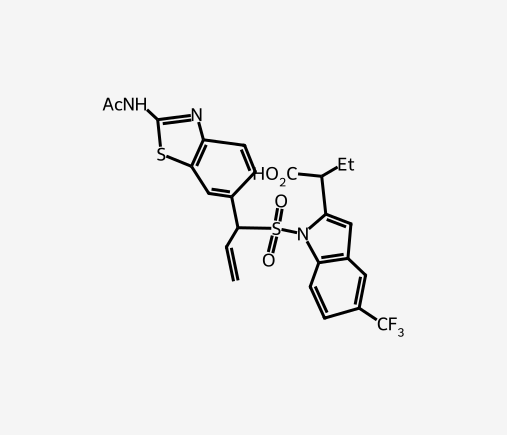 C=CC(c1ccc2nc(NC(C)=O)sc2c1)S(=O)(=O)n1c(C(CC)C(=O)O)cc2cc(C(F)(F)F)ccc21